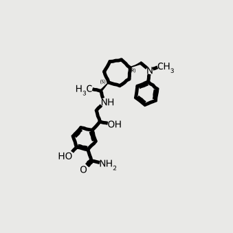 CC(NCC(O)c1ccc(O)c(C(N)=O)c1)[C@H]1CCC[C@@H](CN(C)c2ccccc2)CC1